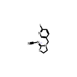 N#C/N=C1\SCCN1Cc1ccc(I)nc1